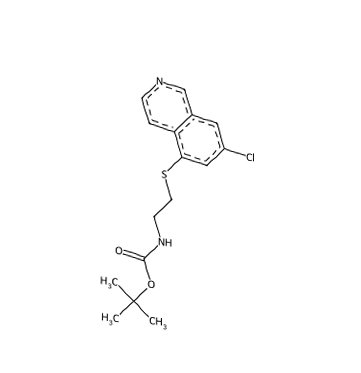 CC(C)(C)OC(=O)NCCSc1cc(Cl)cc2cnccc12